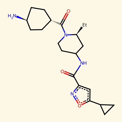 CC[C@H]1CC(NC(=O)c2cc(C3CC3)on2)CCN1C(=O)[C@H]1CC[C@H](N)CC1